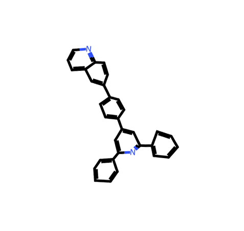 c1ccc(-c2cc(-c3ccc(-c4ccc5ncccc5c4)cc3)cc(-c3ccccc3)n2)cc1